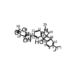 CC(C)c1ccc([C@](O)(c2cccc(-c3noc(CS(C)(=O)=O)n3)c2)C2(C)CN(C)C2)cc1